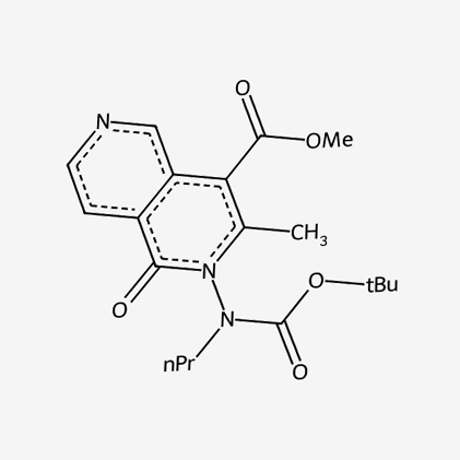 CCCN(C(=O)OC(C)(C)C)n1c(C)c(C(=O)OC)c2cnccc2c1=O